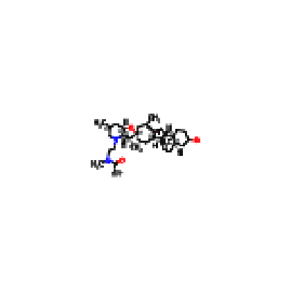 CCCC(=O)N(C)CCN1C[C@@H](C)C[C@H]2O[C@]3(CC[C@@H]4C(=C(C)C3)C[C@H]3[C@H]4CC[C@@H]4CC(=O)CC[C@@]43C)[C@H](C)[C@@H]21